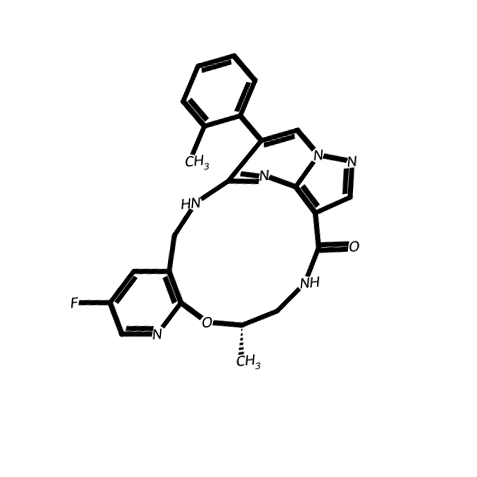 Cc1ccccc1-c1cn2ncc3c2nc1NCc1cc(F)cnc1O[C@@H](C)CNC3=O